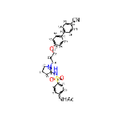 CC(=O)Nc1ccc(S(=O)(=O)NC2CCCN2CCCOc2ccc(-c3ccc(C#N)cc3)cc2)cc1